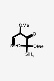 C=CC(OC)C(=O)C([SiH3])(OC)OC